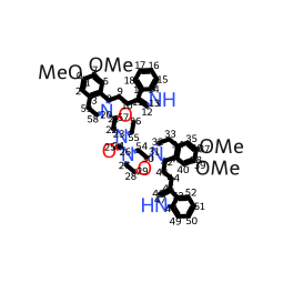 COc1cc2c(cc1OC)C(CCc1c[nH]c3ccccc13)N([C@H]1CN(C(=O)N3CCO[C@@H](N4CCc5cc(OC)c(OC)cc5C4CCc4c[nH]c5ccccc45)C3)CCO1)CC2